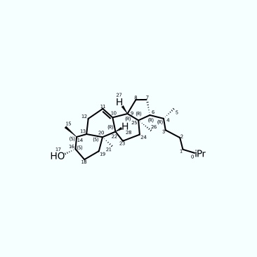 CC(C)CCC[C@@H](C)[C@H]1CC[C@H]2C3=CCC4[C@H](C)[C@@H](O)CC[C@]4(C)[C@H]3CC[C@]12C